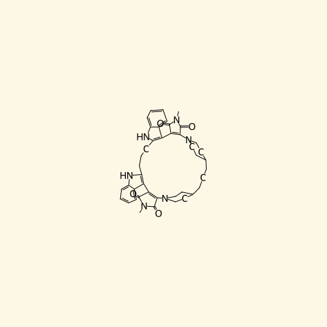 CN1C(=O)C2=C(C1=O)N1CCC(CCCC3CCN(CC3)C3=C(C(=O)N(C)C3=O)c3c([nH]c4ccccc34)CCCc3[nH]c4ccccc4c32)CC1